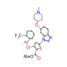 COC(=O)c1sc(-n2cnc3ccc(OC4CCN(C)CC4)cc32)cc1O[C@H](C)c1ccccc1C(F)(F)F